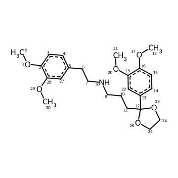 COc1ccc(CCNCCCC2(c3ccc(OC)c(OC)c3)OCCO2)cc1OC